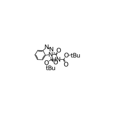 CC(C)(C)OC(=O)NC(=O)[N+]1(C(=O)OC(C)(C)C)N=Nc2ccccc21